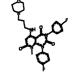 Cn1c(=O)cc(NCCCN2CCOCC2)c2c(=O)n(-c3ccc(F)cc3)c(=O)n(-c3ccc(F)cc3)c21